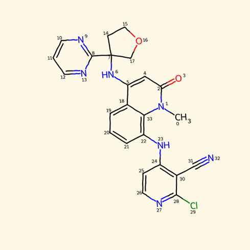 Cn1c(=O)cc(NC2(c3ncccn3)CCOC2)c2cccc(Nc3ccnc(Cl)c3C#N)c21